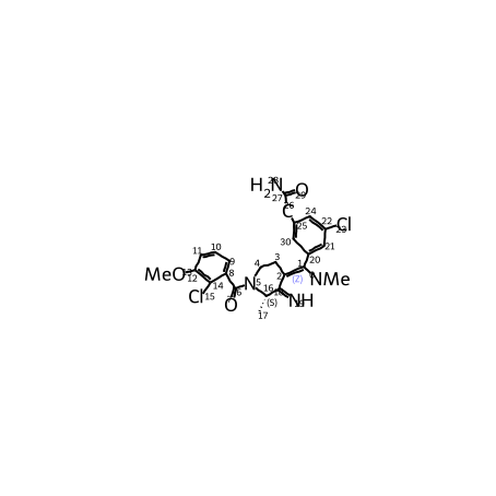 CN/C(=C1/CCN(C(=O)c2cccc(OC)c2Cl)[C@@H](C)C1=N)c1cc(Cl)cc(CC(N)=O)c1